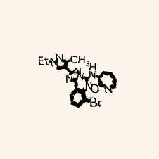 CCn1cc(-c2nc3c4cccc(Br)c4nc(Nc4ccccnc4=O)n3n2)c(C)n1